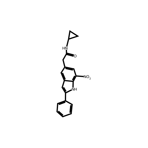 O=C(Cc1cc([N+](=O)[O-])c2[nH]c(-c3ccccc3)cc2c1)NC1CC1